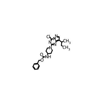 CCC(C)c1cnn2c(Cl)nc(N3CCC(NC(=O)OCc4ccccc4)CC3)nc12